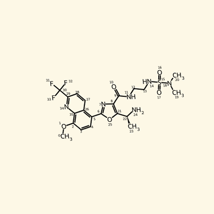 COc1ccc(-c2nc(C(=O)NCCNS(=O)(=O)N(C)C)c([C@H](C)N)o2)c2ccc(C(F)(F)F)nc12